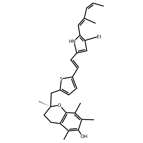 C/C=C\C(C)=C\c1[nH]c(/C=C/c2ccc(C[C@]3(C)CCc4c(C)c(O)c(C)c(C)c4O3)s2)cc1CC